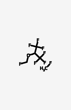 CF.FCOC(C(F)(F)F)C(F)(F)F